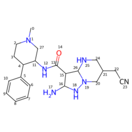 CN1CCC(c2ccccc2)C(NC(=O)C2C(N)NN3CC(CC#N)CNC23)C1